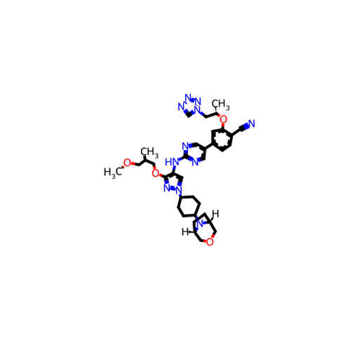 COCC(C)COc1nn(C2CCC(N3[C@@H]4CC[C@H]3COC4)CC2)cc1Nc1ncc(-c2ccc(C#N)c(O[C@@H](C)Cn3cnnn3)c2)cn1